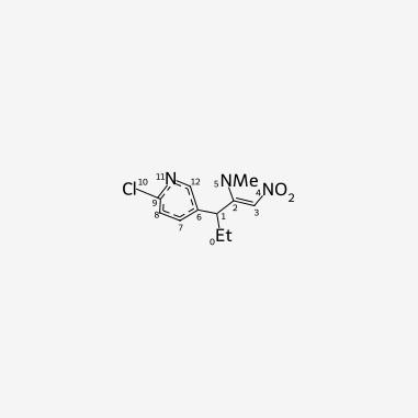 CCC(/C(=C/[N+](=O)[O-])NC)c1ccc(Cl)nc1